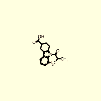 CC(C)C(=O)n1c2c(c3ccccc31)CC(C(=O)O)CC2